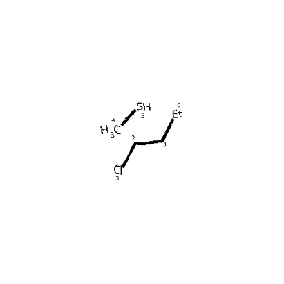 CCCCCl.CS